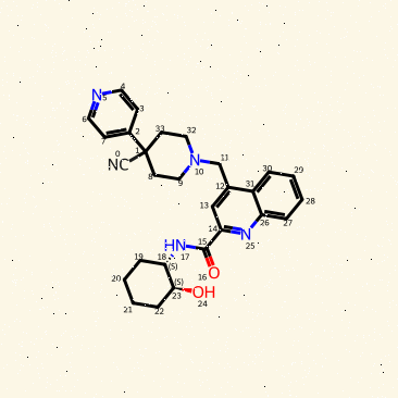 N#CC1(c2ccncc2)CCN(Cc2cc(C(=O)N[C@H]3CCCC[C@@H]3O)nc3ccccc23)CC1